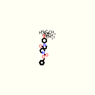 CC(C)(C)[Si](C)(C)OC1CCC(N2CCC3(CCCN(C(=O)OCc4ccccc4)C3)C2=O)CC1